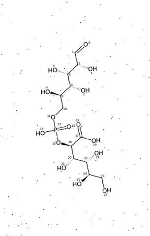 O=C[C@H](O)[C@@H](O)[C@H](O)[C@H](O)COP(=O)(O)O[C@@H](C(=O)O)[C@@H](O)[C@H](O)[C@H](O)CO